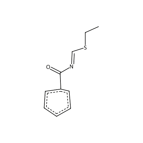 CCSC=NC(=O)c1ccccc1